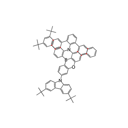 CC(C)(C)c1cc(-c2ccc3c(c2)N(c2c(-c4ccccc4)cccc2-c2ccccc2)c2cc(-c4ccccc4)cc4c2B3c2ccc(-n3c5ccc(C(C)(C)C)cc5c5cc(C(C)(C)C)ccc53)cc2O4)cc(C(C)(C)C)c1